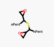 CCCCCC(SC(CCCCC)C1CO1)C1CO1